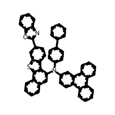 c1ccc(-c2ccc(N(c3ccc4c5ccccc5c5ccccc5c4c3)c3cc4ccccc4c4sc5cc(-c6nc7ccccc7o6)ccc5c34)cc2)cc1